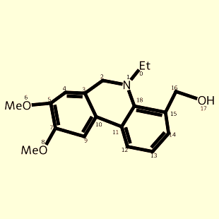 CCN1Cc2cc(OC)c(OC)cc2-c2cccc(CO)c21